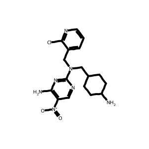 Nc1nc(N(Cc2cccnc2Cl)CC2CCC(N)CC2)ncc1[N+](=O)[O-]